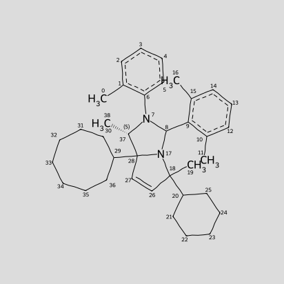 Cc1ccccc1N1C(c2c(C)cccc2C)N2C(C)(C3CCCCC3)C=CC2(C2CCCCCCC2)[C@@H]1C